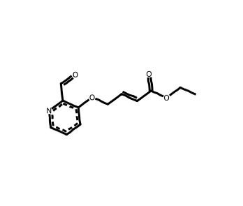 CCOC(=O)/C=C/COc1cccnc1C=O